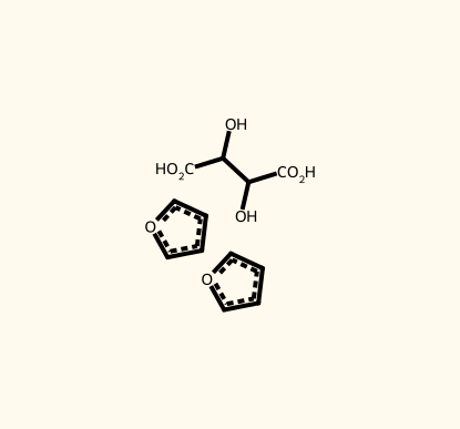 O=C(O)C(O)C(O)C(=O)O.c1ccoc1.c1ccoc1